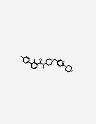 Cc1ccc(-c2cccc(C(=O)NC3CCN(Cc4ccc(N5CCOCC5)nc4)CC3)c2C)cc1